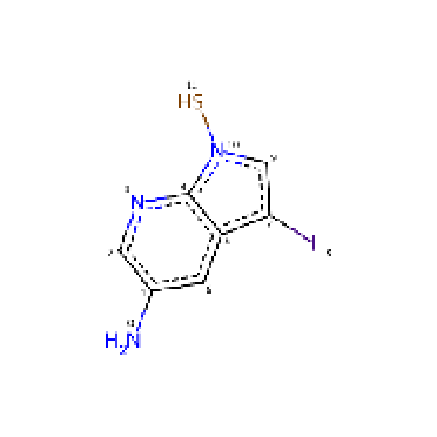 Nc1cnc2c(c1)c(I)cn2S